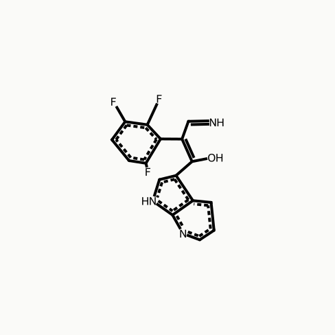 N=C/C(=C(\O)c1c[nH]c2ncccc12)c1c(F)ccc(F)c1F